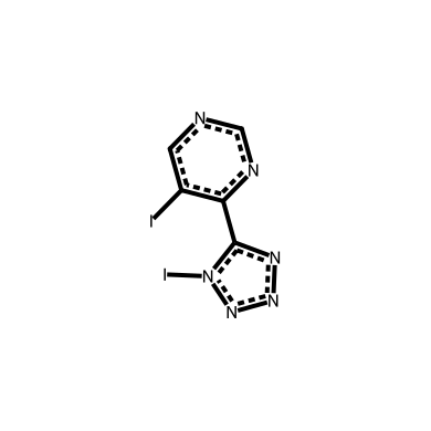 Ic1cncnc1-c1nnnn1I